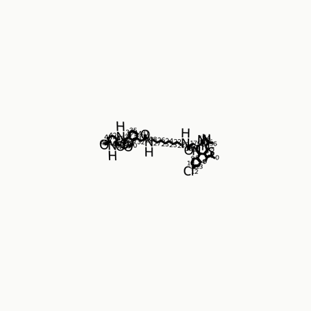 Cc1sc2c(c1C)C(c1ccc(Cl)cc1)=N[C@@H](CC(=O)NCCCCCCCCNC(=O)Cc1cccc(C(=O)NC3CCC(=O)NC3=O)c1C=O)c1nnc(C)n1-2